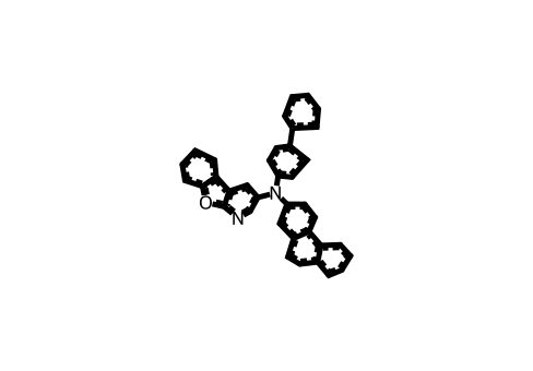 c1ccc(-c2ccc(N(c3ccc4c(ccc5ccccc54)c3)c3cnc4oc5ccccc5c4c3)cc2)cc1